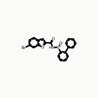 O=C(N[S+]([O-])c1ccccc1-c1ccccc1)c1cc2ccc(Br)cc2o1